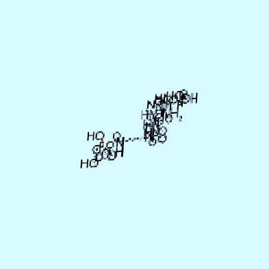 CN1CC[C@H]2CC[C@@H](C(=O)NC(CCC(N)=O)C(=O)NC(C(=O)NCCCCCCCCNC(=O)c3ccc4c(c3)C(=O)OC43c4ccc(O)cc4Oc4cc(O)ccc43)c3ccccc3)N2C(=O)[C@@H](NC(=O)c2cc3cc(C(F)(F)P(=O)(O)O)ccc3[nH]2)C1